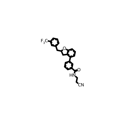 N#CCCNC(=O)c1cccc(-c2cccc3c2CC(Cc2cccc(C(F)(F)F)c2)O3)c1